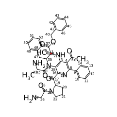 C#CNc1c(C(C)=O)c(-c2ccccc2)nc(C(=O)C2CCCN2C(=O)CN)c1N(C(=O)[C@H](C)N)C(CC(=O)OCc1ccccc1)Cc1ccccc1